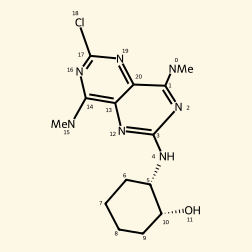 CNc1nc(N[C@H]2CCCC[C@H]2O)nc2c(NC)nc(Cl)nc12